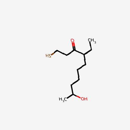 CCC(CCCCC(C)O)C(=O)CCS